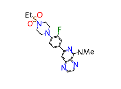 CCS(=O)(=O)N1CCN(c2ccc(-c3cc4nccnc4c(NC)n3)cc2F)CC1